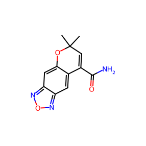 CC1(C)C=C(C(N)=O)c2cc3nonc3cc2O1